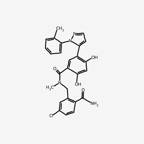 Cc1ccccc1-n1nccc1-c1cc(C(=O)N(C)Cc2cc(Cl)ccc2C(N)=O)c(O)cc1O